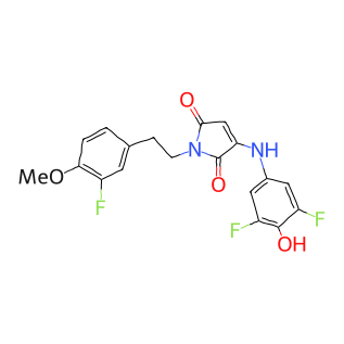 COc1ccc(CCN2C(=O)C=C(Nc3cc(F)c(O)c(F)c3)C2=O)cc1F